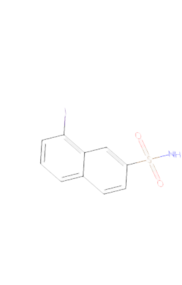 NS(=O)(=O)c1ccc2cccc(I)c2c1